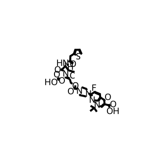 CC(C)(C)n1cc(C(=O)O)c(=O)c2cc(F)c(N3CCN(C(=O)OCC4=C(OC(=O)O)N5C(=O)[C@@H](NC(=O)Cc6cccs6)[C@H]5CC4)CC3)nc21